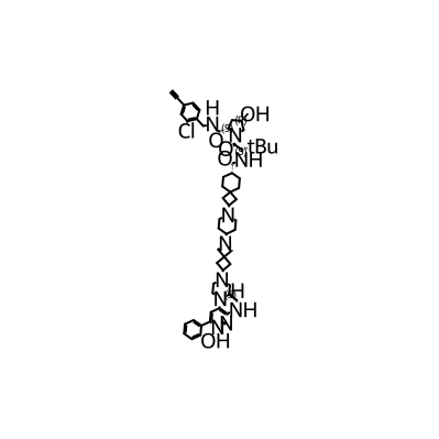 C#Cc1ccc(CNC(=O)[C@@H]2C[C@@H](O)CN2C(=O)[C@@H](NC(=O)[C@H]2CCC3(CC2)C[C@H](N2CCC(N4CC5(CC(N6CCN7c8cc(-c9ccccc9O)nnc8NC[C@H]7C6)C5)C4)CC2)C3)C(C)(C)C)c(Cl)c1